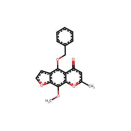 COc1c2occc2c(OCc2ccccc2)c2c(=O)cc(C)oc12